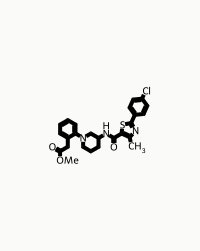 COC(=O)Cc1ccccc1N1CCCC(NC(=O)c2sc(-c3ccc(Cl)cc3)nc2C)C1